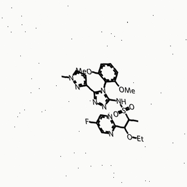 CCOC(c1ncc(F)cn1)C(C)S(=O)(=O)Nc1nnc(-c2ccn(C)n2)n1-c1c(OC)cccc1OC